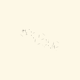 NC(=S)N(Cc1ccccc1)c1cccc2c(N(Cc3ccccc3)C(N)=S)cccc12